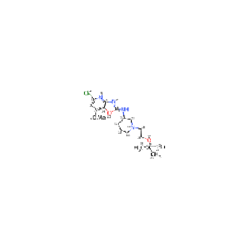 COc1cc(Cl)nc2nc(N[C@@H]3CCCN(CCO[Si](C)(C)C(C)(C)C)C3)oc12